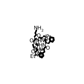 CCNC(=O)C(=O)N1CCN(C(=O)[C@@H](CCCCN)NC(=O)[C@@H](CC(C)C)NC(=O)[C@@H](Cc2ccccc2)NC(=O)[C@H](N)Cc2ccccc2)CC1